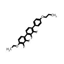 CCCOc1ccc(-c2ccc(-c3ccc(OCC)c(F)c3F)c(F)c2F)cc1